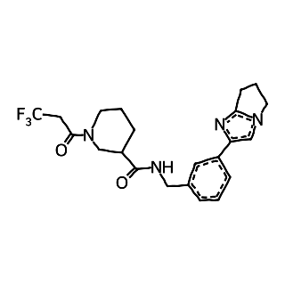 O=C(NCc1cccc(-c2cn3c(n2)CCC3)c1)C1CCCN(C(=O)CC(F)(F)F)C1